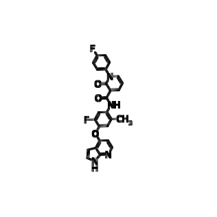 Cc1cc(Oc2ccnc3[nH]ccc23)c(F)cc1NC(=O)c1cccn(-c2ccc(F)cc2)c1=O